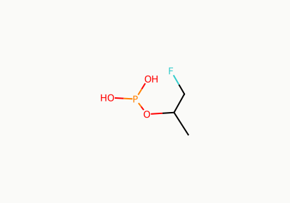 CC(CF)OP(O)O